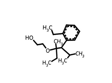 CCc1ccccc1C(C(C)C)C(C)(CC)OCCO